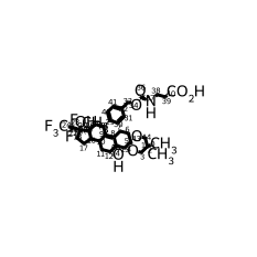 CC1(C)COC2(CCC3=C4C(CC[C@@]3(O)C2)C2CC[C@@](O)(C(F)(F)C(F)(F)F)[C@@]2(C)C[C@@H]4c2ccc(COC(=O)NCCC(=O)O)cc2)OC1